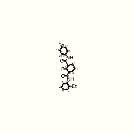 CCc1ccccc1NC(=O)c1cccc(C(=O)Nc2ccc(F)cc2)c1F